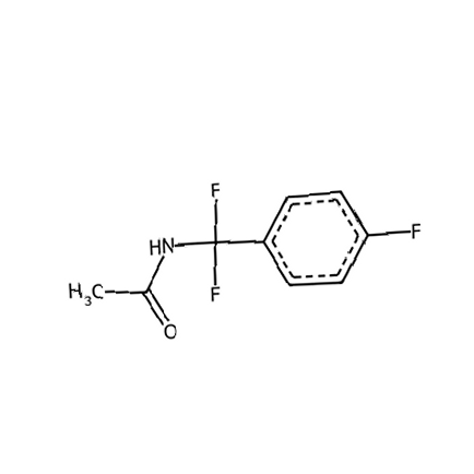 CC(=O)NC(F)(F)c1ccc(F)cc1